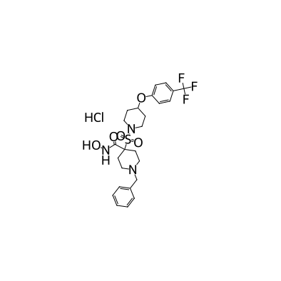 Cl.O=C(NO)C1(S(=O)(=O)N2CCC(Oc3ccc(C(F)(F)F)cc3)CC2)CCN(Cc2ccccc2)CC1